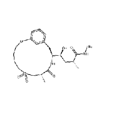 CCCCNC(=O)[C@H](C)C[C@H](O)[C@@H]1Cc2cccc(c2)OCCCCS(=O)(=O)C[C@@H](C)C(=O)N1